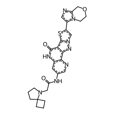 O=C(CN1CCCC12CCC2)Nc1cnc2c(c1)[nH]c(=O)c1c2nn2cc(-c3cnc4n3CCOC4)sc12